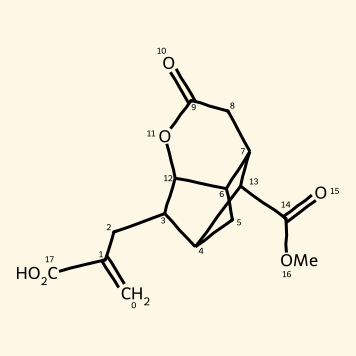 C=C(CC1C2CC3C(CC(=O)OC31)C2C(=O)OC)C(=O)O